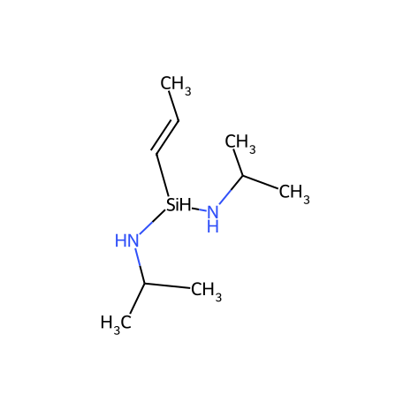 CC=C[SiH](NC(C)C)NC(C)C